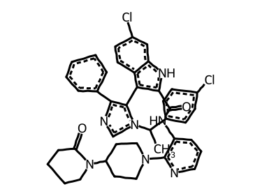 CC(c1ccc(Cl)cc1)n1cnc(-c2ccccc2)c1-c1c(C(=O)Nc2cccnc2N2CCC(N3CCCCC3=O)CC2)[nH]c2cc(Cl)ccc12